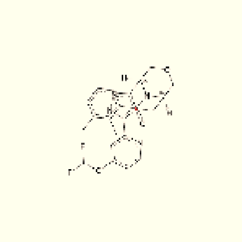 Cc1cccc(C(=O)N2[C@H]3COC[C@@H]2c2nnc(-c4cc(OC(F)F)ccn4)n2C3)c1C